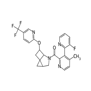 Cc1ccnc(C(=O)N2CC3CC34CC(Oc3ccc(C(F)(F)F)cn3)C24)c1-c1ncccc1F